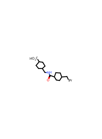 CC(C)CC1CCC(C(=O)NCC2CCC(C(=O)O)CC2)CC1